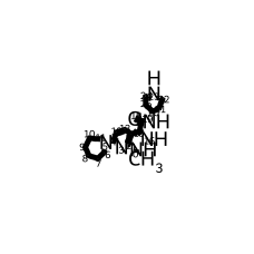 CNc1nc(N2CCCCCC2)ccc1C(=N)C(=O)NC1CCNCC1